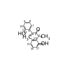 CC(C(=O)C(C)c1ccccc1O)c1ccccc1O